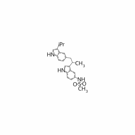 CC(C)c1c[nH]c2ccc(CC(C)c3c[nH]c4ccc(NS(C)(=O)=O)cc34)cc12